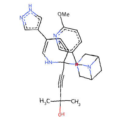 COc1ccc(CN2C3CC2CN(C2(C#CC(C)(C)O)C=CC(c4cn[nH]c4)=CN2)C3)cn1